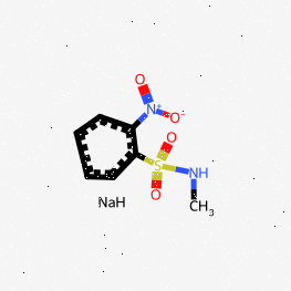 CNS(=O)(=O)c1ccccc1[N+](=O)[O-].[NaH]